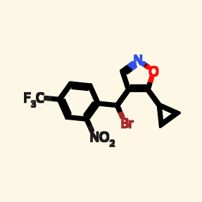 O=[N+]([O-])c1cc(C(F)(F)F)ccc1C(Br)c1cnoc1C1CC1